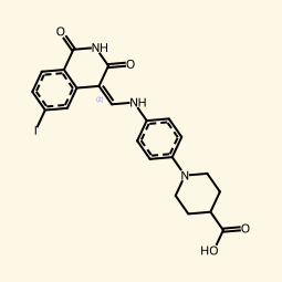 O=C1NC(=O)c2ccc(I)cc2/C1=C/Nc1ccc(N2CCC(C(=O)O)CC2)cc1